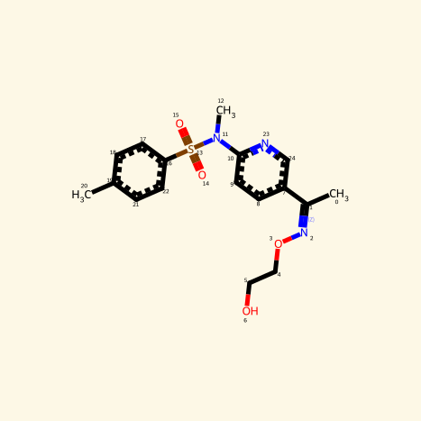 C/C(=N/OCCO)c1ccc(N(C)S(=O)(=O)c2ccc(C)cc2)nc1